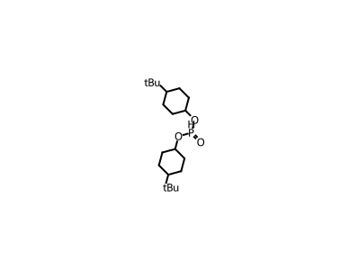 CC(C)(C)C1CCC(O[PH](=O)OC2CCC(C(C)(C)C)CC2)CC1